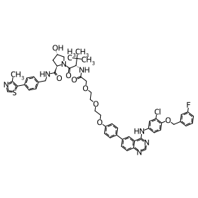 Cc1ncsc1-c1ccc(CNC(=O)[C@H]2C[C@H](O)CN2C(=O)[C@@H](NC(=O)COCCOCCOc2ccc(-c3ccc4ncnc(Nc5ccc(OCc6cccc(F)c6)c(Cl)c5)c4c3)cc2)C(C)(C)C)cc1